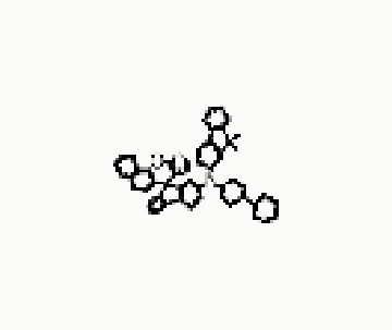 CC1(C)c2ccccc2-c2ccc(N(c3ccc(-c4ccccc4)cc3)c3ccc4c(c3)C3(c5ccccc5Oc5c3ccc3ccccc53)c3ccccc3-4)cc21